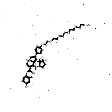 COCCOCCOCCOCCOCCOc1ccc(-c2cc3c(N[C@@H]4CC[C@](C)(N)C4(C)C)c(/C(N)=N/c4ccc(O)cc4Cl)cnn3c2)cc1